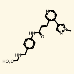 Cn1cc(-c2ccncc2C=CC(=O)Nc2ccc(CNCC(=O)O)cc2)cn1